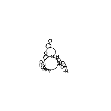 C[C@@H]1[C@@H](C)CCC[C@@H]([C@H]2OC[C@@H](CN(C)C)O2)[C@@H]2CC[C@H]2CN2CCCCc3cc(Cl)ccc3COc3ccc(cc32)C(=O)NS1(=O)=O